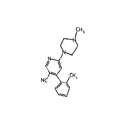 Cc1ccccc1-c1cc(N2CCN(C)CC2)ncc1C#N